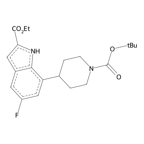 CCOC(=O)c1cc2cc(F)cc(C3CCN(C(=O)OC(C)(C)C)CC3)c2[nH]1